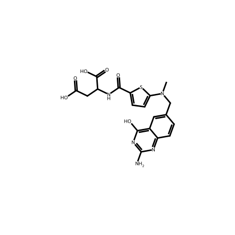 CN(Cc1ccc2nc(N)nc(O)c2c1)c1ccc(C(=O)NC(CC(=O)O)C(=O)O)s1